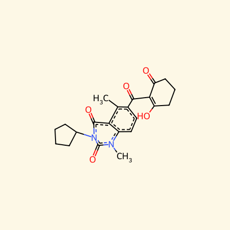 Cc1c(C(=O)C2=C(O)CCCC2=O)ccc2c1c(=O)n(C1CCCC1)c(=O)n2C